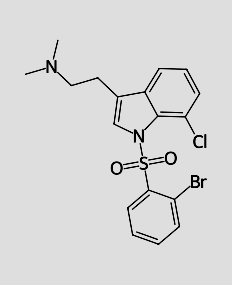 CN(C)CCc1cn(S(=O)(=O)c2ccccc2Br)c2c(Cl)cccc12